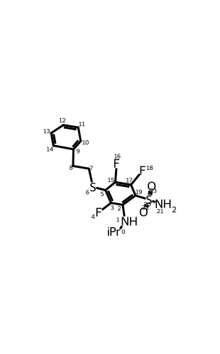 CC(C)Nc1c(F)c(SCCc2ccccc2)c(F)c(F)c1S(N)(=O)=O